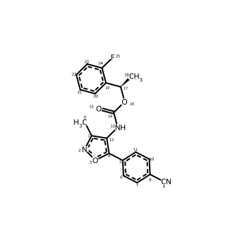 Cc1noc(-c2ccc(C#N)cc2)c1NC(=O)O[C@H](C)c1ccccc1F